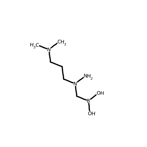 CN(C)CCCN(N)CB(O)O